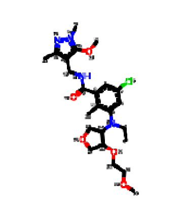 CCN(c1cc(Cl)cc(C(=O)NCc2c(C)nn(C)c2OC)c1C)C1COCC1OCCOC